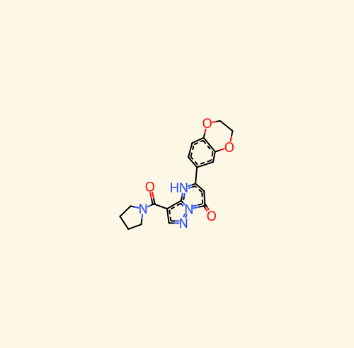 O=C(c1cnn2c(=O)cc(-c3ccc4c(c3)OCCO4)[nH]c12)N1CCCC1